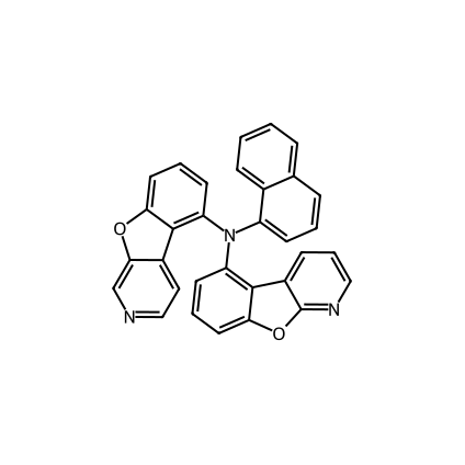 c1ccc2c(N(c3cccc4oc5cnccc5c34)c3cccc4oc5ncccc5c34)cccc2c1